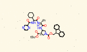 CC(C)[C@H](NC(=O)[C@@H](NC(=O)c1cnccn1)C1CCCCC1)C(=O)N[C@H]1CN(C(=O)OCC2c3ccccc3-c3ccccc32)C[C@H]1C(=O)OC(C)(C)C